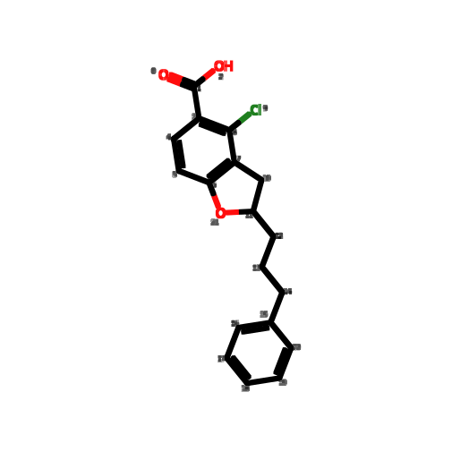 O=C(O)c1ccc2c(c1Cl)CC(CCCc1ccccc1)O2